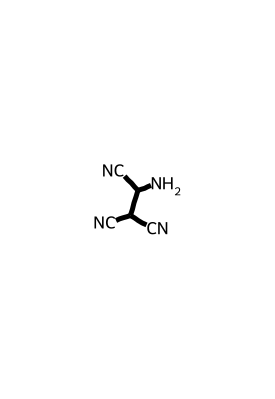 N#CC(N)C(C#N)C#N